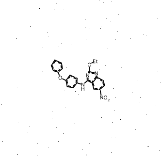 CCOc1nc(Nc2ccc(Oc3ccccc3)cc2)c2cc([N+](=O)[O-])ccc2n1